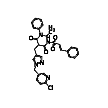 CCN(C(=O)C(Cc1cnn(Cc2ccc(Cl)nc2)c1)C(=O)NS(=O)(=O)C=Cc1ccccc1)c1ccccc1